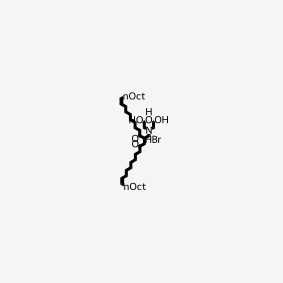 Br.CCCCCCCC/C=C\CCCCCCCC(=O)CC(CN(CCO)CC(O)O)C(=O)CCCCCCC/C=C\CCCCCCCC